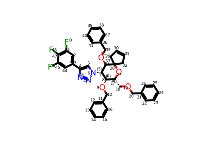 Fc1cc(-c2cn([C@H]3[C@@H](OCc4ccccc4)[C@@H](COCc4ccccc4)OC4(CC=CC4)[C@@H]3OCc3ccccc3)nn2)cc(F)c1F